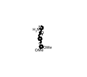 COc1ccc(OCc2ccc(Cc3cc(-c4cccnc4N)on3)cc2)cc1OC